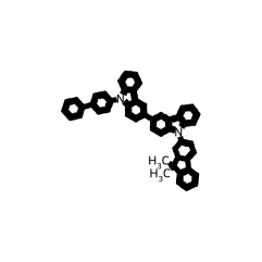 CC1(C)c2ccccc2C2=CC=C(n3c4ccccc4c4cc(-c5ccc6c(c5)c5ccccc5n6-c5ccc(-c6ccccc6)cc5)ccc43)CC21